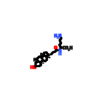 C[C@]12CCC3[C@@H](CC[C@@H]4C[C@H](O)CC[C@]34C)C1CC[C@@H]2CCCC(=O)N[C@@H](CCCCN)C(=O)O